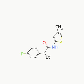 CCC(C(=O)Nc1cc(C)cs1)c1ccc(F)cc1